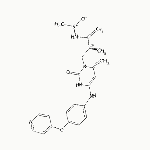 C=C(N[S+](C)[O-])[C@@H](C)CN1C(=C)C=C(Nc2ccc(Oc3ccncc3)cc2)NC1=O